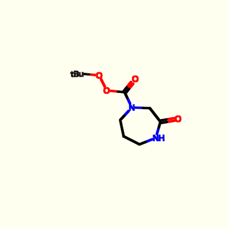 CC(C)(C)OOC(=O)N1CCCNC(=O)C1